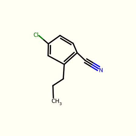 CCCc1cc(Cl)ccc1C#N